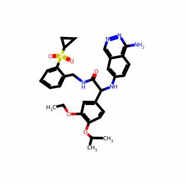 CCOc1cc(C(Nc2ccc3c(N)nncc3c2)C(=O)NCc2ccccc2S(=O)(=O)C2CC2)ccc1OC(C)C